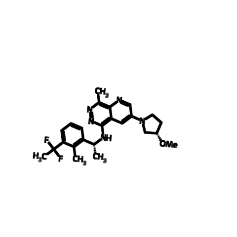 CO[C@H]1CCN(c2cnc3c(C)nnc(N[C@H](C)c4cccc(C(C)(F)F)c4C)c3c2)C1